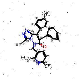 [C-]#[N+]c1ccc(-c2c(-c3ccccc3)c(=O)n(Cc3ccc(C(F)(F)F)nc3C)n3c(CC)nnc23)cc1